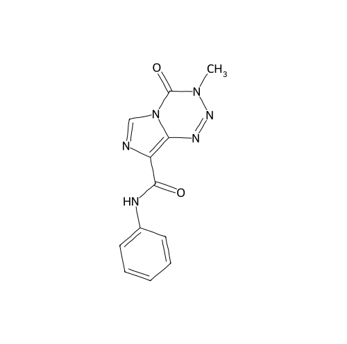 Cn1nnc2c(C(=O)Nc3ccccc3)ncn2c1=O